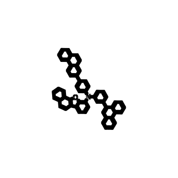 c1cc(-c2cc3ccccc3c3ccccc23)cc(N(c2ccc(-c3ccc4c(ccc5ccccc54)c3)cc2)c2cccc3c2oc2c4ccccc4ccc32)c1